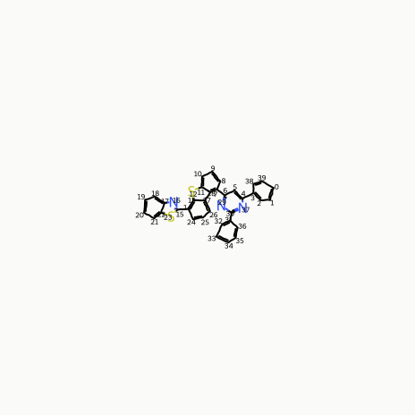 c1ccc(-c2cc(-c3cccc4sc5c(-c6nc7ccccc7s6)cccc5c34)nc(-c3ccccc3)n2)cc1